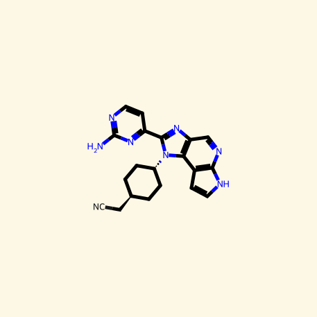 N#CC[C@H]1CC[C@H](n2c(-c3ccnc(N)n3)nc3cnc4[nH]ccc4c32)CC1